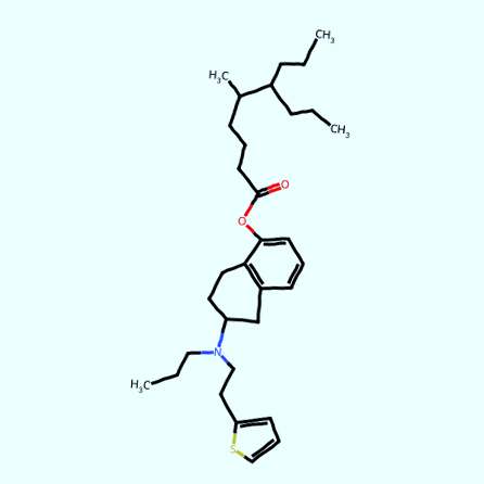 CCCC(CCC)C(C)CCCC(=O)Oc1cccc2c1CCC(N(CCC)CCc1cccs1)C2